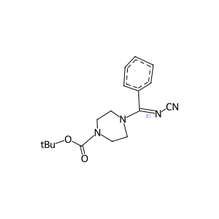 CC(C)(C)OC(=O)N1CCN(/C(=N/C#N)c2ccccc2)CC1